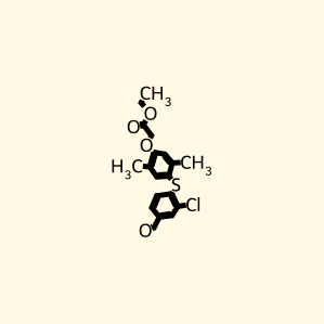 CCOC(=O)COc1cc(C)c(Sc2ccc(C=O)cc2Cl)cc1C